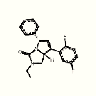 CCN1C[C@H]2C(c3cc(F)ccc3F)=C[C@@H](c3ccccc3)N2C1=O